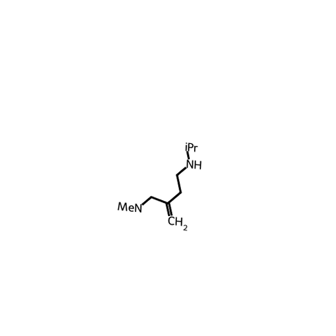 C=C(CCNC(C)C)CNC